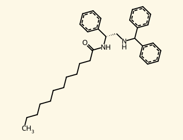 CCCCCCCCCCCC(=O)N[C@@H](CNC(c1ccccc1)c1ccccc1)c1ccccc1